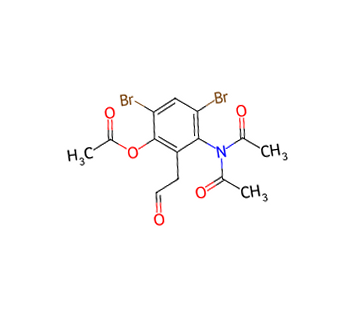 CC(=O)Oc1c(Br)cc(Br)c(N(C(C)=O)C(C)=O)c1CC=O